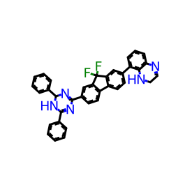 FC1(F)c2cc(C3=NC(c4ccccc4)NC(c4ccccc4)=N3)ccc2-c2ccc(-c3cccc4c3NCC=N4)cc21